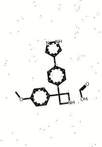 COc1ccc(C2(c3ccc(-c4cn[nH]c4)cc3)CNC2)cc1.O=CO